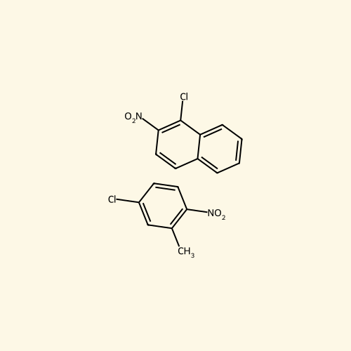 Cc1cc(Cl)ccc1[N+](=O)[O-].O=[N+]([O-])c1ccc2ccccc2c1Cl